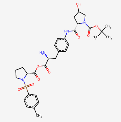 Cc1ccc(S(=O)(=O)N2CCC[C@@H]2C(=O)OC(=O)[C@@H](N)Cc2ccc(NC(=O)[C@@H]3CC(O)CN3C(=O)OC(C)(C)C)cc2)cc1